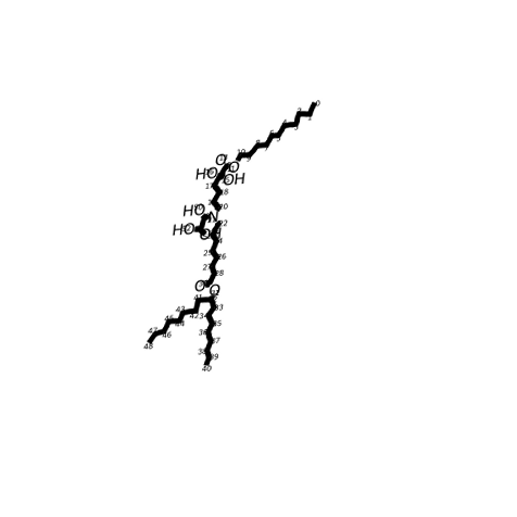 CCCCCCCCCCCOC(=O)C(O)(O)CCCCN(CCCCCCCC(=O)OC(CCCCCCCC)CCCCCCCC)C(O)C(O)O